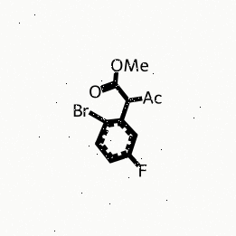 COC(=O)C(C(C)=O)c1cc(F)ccc1Br